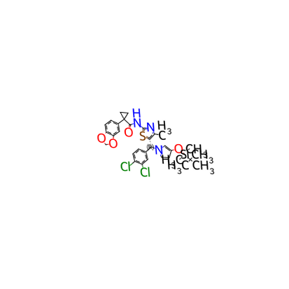 Cc1nc(NC(=O)C2(c3ccc4c(c3)OCO4)CC2)sc1[C@@H](c1ccc(Cl)c(Cl)c1)N1C=C(O[Si](C)(C)C(C)(C)C)CC1